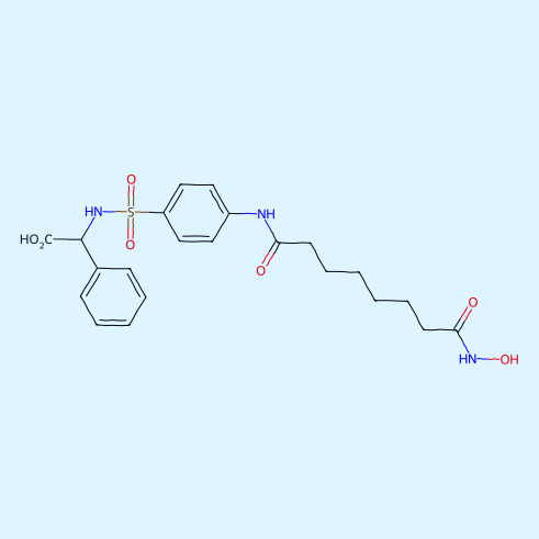 O=C(CCCCCCC(=O)Nc1ccc(S(=O)(=O)NC(C(=O)O)c2ccccc2)cc1)NO